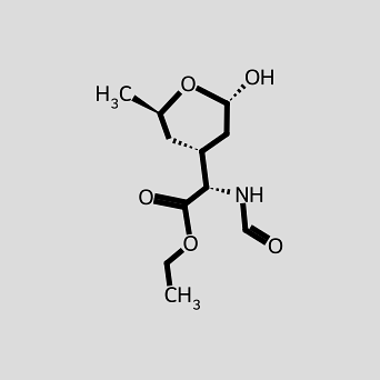 CCOC(=O)[C@@H](NC=O)[C@@H]1C[C@@H](C)O[C@H](O)C1